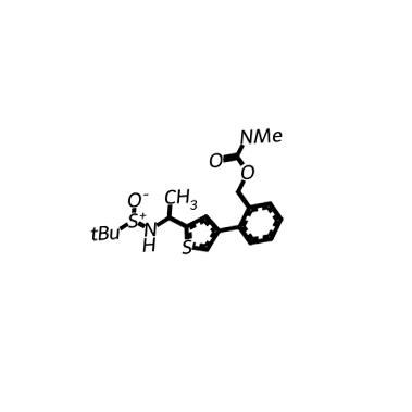 CNC(=O)OCc1ccccc1-c1csc(C(C)N[S+]([O-])C(C)(C)C)c1